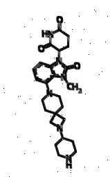 Cn1c(=O)n(C2CCC(=O)NC2=O)c2cccc(N3CCC4(CC3)CN(C3CCNCC3)C4)c21